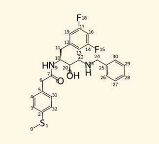 CSc1ccc(CC(=O)N[C@@H](Cc2cc(F)cc(F)c2)[C@H](O)CNCc2ccccc2)cc1